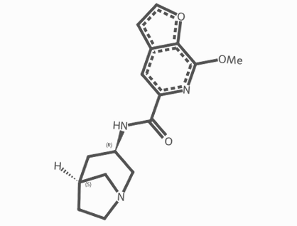 COc1nc(C(=O)N[C@@H]2C[C@@H]3CCN(C3)C2)cc2ccoc12